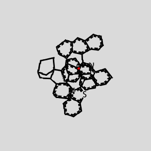 c1ccc(C2CC3CCC2(c2ccccc2-c2cccc4cc5ccccc5c(-c5nc6ccccc6s5)c24)C3)c(-c2cccc3cc4ccccc4c(-c4nc5ccccc5s4)c23)c1